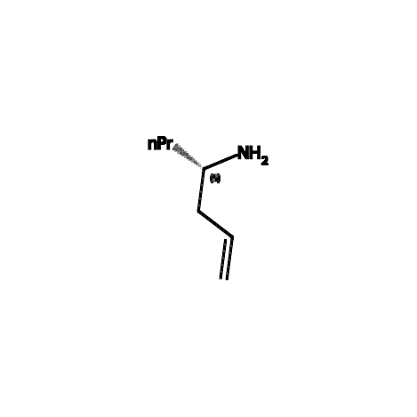 C=CC[C@@H](N)CCC